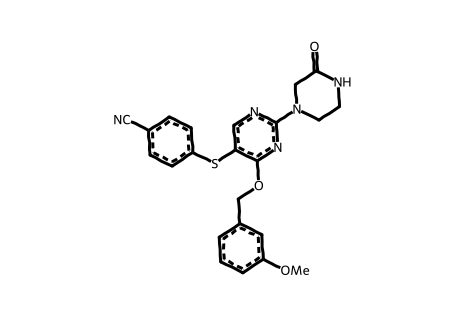 COc1cccc(COc2nc(N3CCNC(=O)C3)ncc2Sc2ccc(C#N)cc2)c1